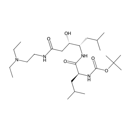 CCN(CC)CCNC(=O)C[C@H](O)[C@H](CC(C)C)NC(=O)[C@H](CC(C)C)NC(=O)OC(C)(C)C